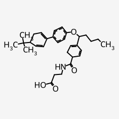 CCCCC(Oc1ccc(C2=CCC(C(C)(C)C)C=C2)cc1)C1=CCC(C(=O)NCCC(=O)O)C=C1